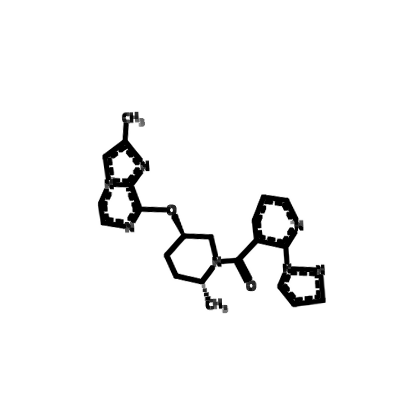 Cc1cn2ccnc(O[C@@H]3CC[C@@H](C)N(C(=O)c4cccnc4-n4cccn4)C3)c2n1